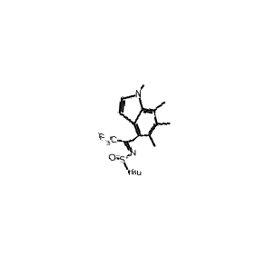 Cc1c(C)c(C)c2c(ccn2C)c1/C(=N/[S+]([O-])C(C)(C)C)C(F)(F)F